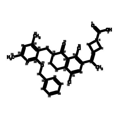 CC(=C1CN(C(=O)O)C1)c1cc(Cl)c2c(c1Cl)C(=O)N(Cc1c(C)cc(C)nc1OCc1ccccc1)CC2